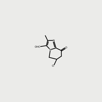 Cc1nc2n(c1C=O)CC(Cl)CC2=O